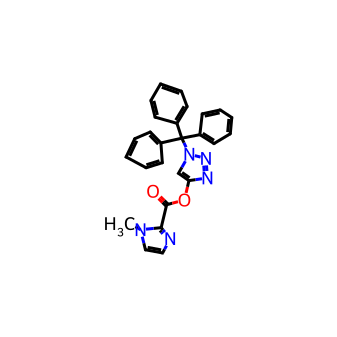 Cn1ccnc1C(=O)Oc1cn(C(c2ccccc2)(c2ccccc2)c2ccccc2)nn1